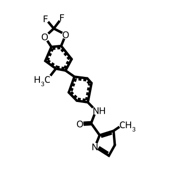 CC1=C(C(=O)Nc2ccc(-c3cc4c(cc3C)OC(F)(F)O4)cc2)N=CC1